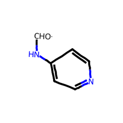 O=[C]Nc1ccncc1